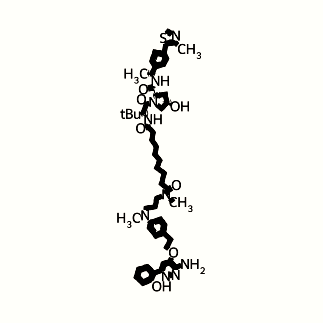 Cc1ncsc1-c1ccc([C@H](C)NC(=O)[C@@H]2C[C@@H](O)CN2C(=O)[C@@H](NC(=O)CCCCCCCCC(=O)N(C)CCCN(C)c2ccc(CCOc3cc(-c4ccccc4O)nnc3N)cc2)C(C)(C)C)cc1